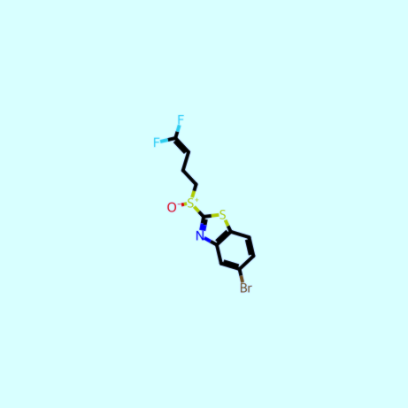 [O-][S+](CCC=C(F)F)c1nc2cc(Br)ccc2s1